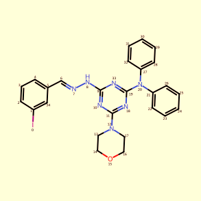 Ic1cccc(/C=N/Nc2nc(N3CCOCC3)nc(N(c3ccccc3)c3ccccc3)n2)c1